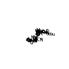 CC(C)(C)OC(=O)N1CCC(N[C@@H]2[C@@H]3CC4C[C@H]2C[C@@](CNc2nc(NCc5ccccc5Cl)ncc2C#N)(C4)C3)CC1